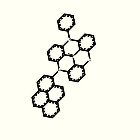 S=P12c3c4cccc3N(c3ccccc3)c3cccc(c31)N(c1ccc3ccc5cccc6ccc1c3c56)c1cccc(c12)O4